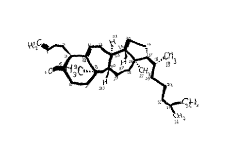 C=CC[C@@H]1C(=O)CC[C@@]2(C)C1=CC[C@H]1[C@@H]3CC[C@H]([C@H](C)CCCC(C)C)[C@@]3(C)CC[C@@H]12